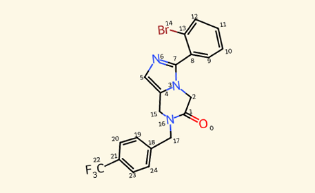 O=C1Cn2c(cnc2-c2ccccc2Br)CN1Cc1ccc(C(F)(F)F)cc1